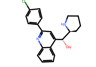 O[C@H](c1cc(-c2ccc(Cl)cc2)nc2ccccc12)[C@@H]1CCCCN1